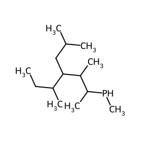 CCC(C)C(CC(C)C)C(C)C(C)PC